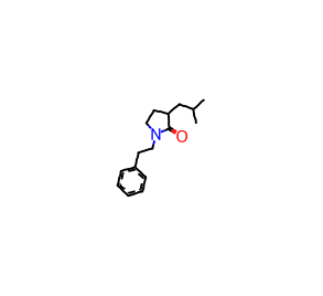 CC(C)CC1CCN(CCc2ccccc2)C1=O